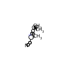 C[C@H]1CCC(c2ccc3ccncc3c2)CC/C=C2/C=C3CCC(N(C)S(C)(=O)=O)C[C@]34CC[C@@]21O4